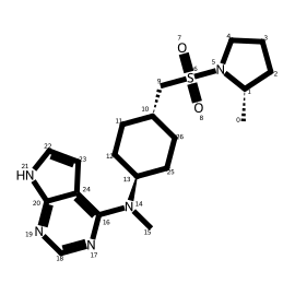 C[C@H]1CCCN1S(=O)(=O)C[C@H]1CC[C@H](N(C)c2ncnc3[nH]ccc23)CC1